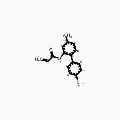 C=CC(=O)Oc1cc(C)ccc1-c1ccc(C)cc1